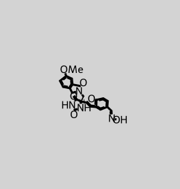 COc1ccc2c(c1)C(=O)N(C[C@@]1(c3cc4cc(C=NO)ccc4o3)NC(=O)NC1=O)C2